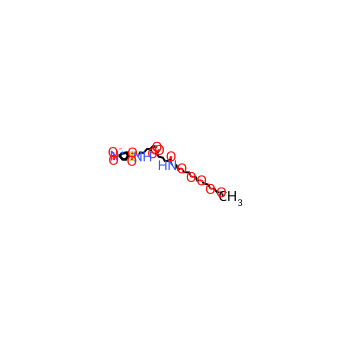 COCCOCCOCCOCCOCCNC(=O)CCCC(=O)OC(C=O)CCCNS(=O)(=O)c1ccc([N+](=O)[O-])cc1